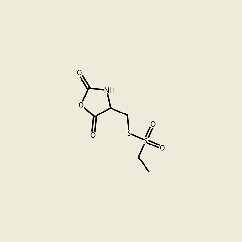 CCS(=O)(=O)SCC1NC(=O)OC1=O